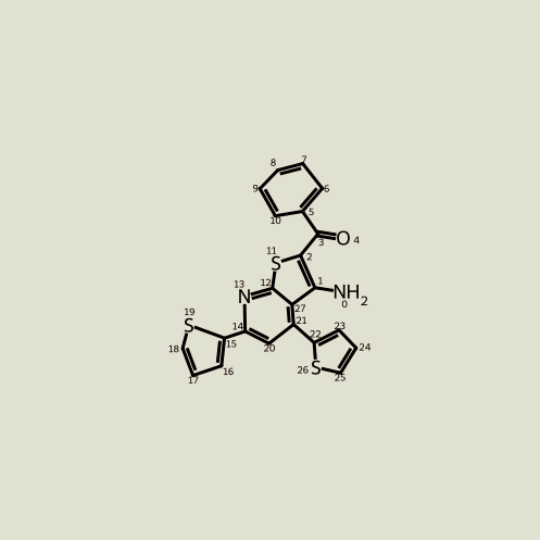 Nc1c(C(=O)c2ccccc2)sc2nc(-c3cccs3)cc(-c3cccs3)c12